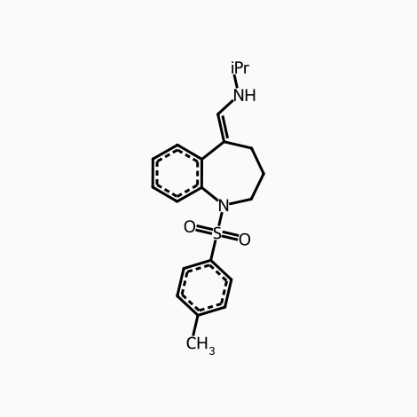 Cc1ccc(S(=O)(=O)N2CCCC(=CNC(C)C)c3ccccc32)cc1